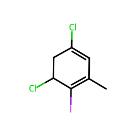 CC1=C(I)C(Cl)CC(Cl)=C1